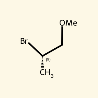 COC[C@H](C)Br